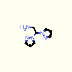 NCC(n1cccn1)n1cccn1